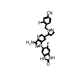 N#Cc1ccc(Cn2nccc2-c2cnc3c(N)nn(-c4cc5[nH]c(=O)[nH]c5cc4F)c3c2)c(F)c1